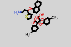 Cc1ccc(O[C@](C(=O)O)(c2ccc(C)cc2)[C@@H](O)C(=O)O)cc1.NCCC(Oc1cccc2ccccc12)c1cccs1